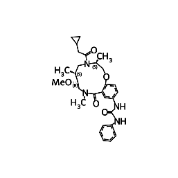 CO[C@H]1CN(C)C(=O)c2cc(NC(=O)Nc3ccccc3)ccc2OC[C@H](C)N(C(=O)CC2CC2)C[C@@H]1C